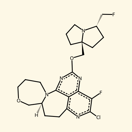 FC[C@@H]1CC[C@]2(COc3nc4c5c(nc(Cl)c(F)c5n3)CC[C@H]3COCCCN43)CCCN12